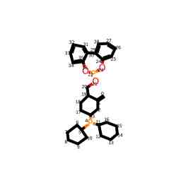 C=C1CC(P(C2CCCCC2)C2CCCCC2)CCC1COp1oc2ccccc2c2ccccc2o1